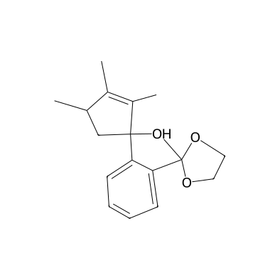 CC1=C(C)C(O)(c2ccccc2C2(C)OCCO2)CC1C